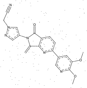 C=C1c2nc(-c3cnc(OC)c(OC)c3)ccc2C(=O)N1c1cnn(CC#N)c1